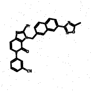 Cc1nc(-c2ccc3ccc(Cn4c(C(C)C)nc5ccn(-c6cccc(C#N)c6)c(=O)c54)cc3c2)no1